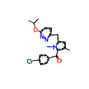 Cc1cc(Cc2ccc(OC(C)C)nn2)n(C)c1C(=O)c1ccc(Cl)cc1